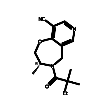 CCC(C)(C)C(=O)N1Cc2cncc(C#N)c2OC[C@H]1C